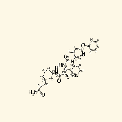 Cc1cc(Oc2ccccc2)ncc1N1C(=O)Nc2c(C(=O)N[C@@H]3CCCC(CCC(N)=O)C3)sc3nccc1c23